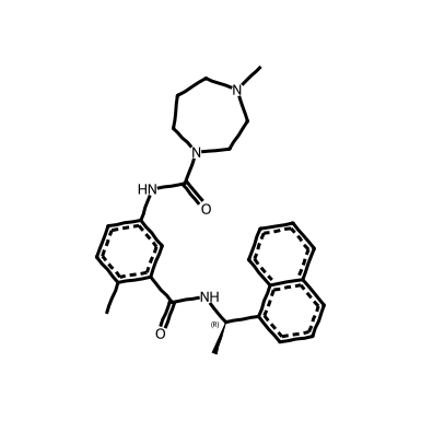 Cc1ccc(NC(=O)N2CCCN(C)CC2)cc1C(=O)N[C@H](C)c1cccc2ccccc12